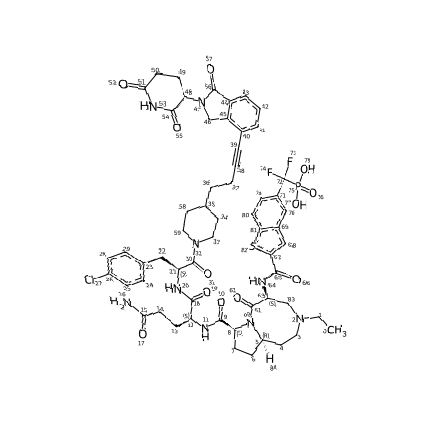 CCN1CC[C@H]2CC[C@@H](C(=O)N[C@@H](CCC(N)=O)C(=O)N[C@@H](Cc3ccc(Cl)cc3)C(=O)N3CCC(CCC#Cc4cccc5c4CN(C4CCC(=O)NC4=O)C5=O)CC3)N2C(=O)[C@@H](NC(=O)c2cc3cc(C(F)(F)P(=O)(O)O)ccc3s2)C1